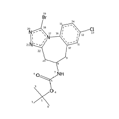 CC(C)(C)OC(=O)NC1Cc2cc(Cl)ccc2-n2c(Br)nnc2C1